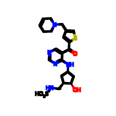 O=C(c1cc(CN2CC=CCC2)cs1)c1cncnc1N[C@H]1C[C@H](O)[C@@H]([CH]NS(=O)(=O)O)C1